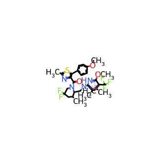 C\C=C(/C(=N\C(NCC1C(C)CC(F)(F)CN1C(=O)c1nc(C)sc1-c1ccc(OC)cc1)=C(\C)CC)OC)C(F)(F)F